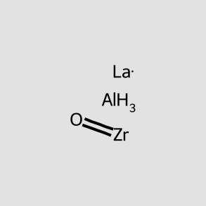 [AlH3].[La].[O]=[Zr]